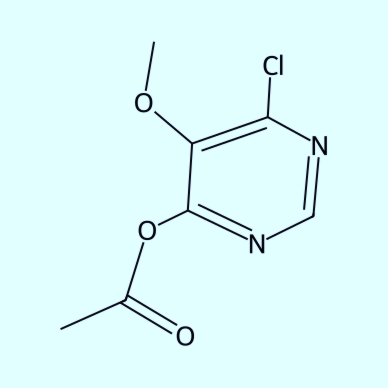 COc1c(Cl)ncnc1OC(C)=O